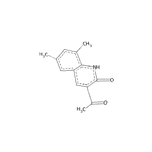 CC(=O)c1cc2cc(C)cc(C)c2[nH]c1=O